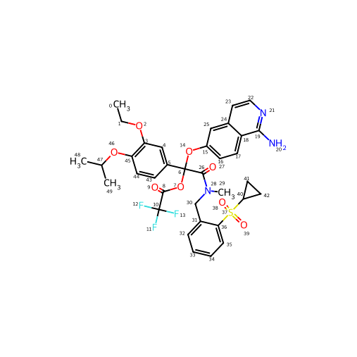 CCOc1cc(C(OC(=O)C(F)(F)F)(Oc2ccc3c(N)nccc3c2)C(=O)N(C)Cc2ccccc2S(=O)(=O)C2CC2)ccc1OC(C)C